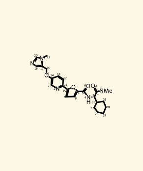 CNC(=O)[C@@H](NC(=O)c1ccc(-c2ccc(OCc3cncn3C)cn2)o1)C1CCCCC1